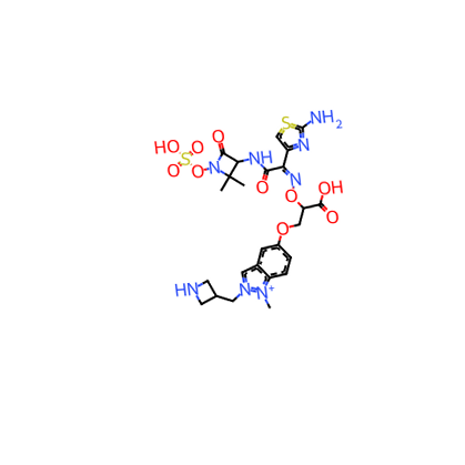 C[n+]1c2ccc(OCC(ON=C(C(=O)NC3C(=O)N(OS(=O)(=O)O)C3(C)C)c3csc(N)n3)C(=O)O)cc2cn1CC1CNC1